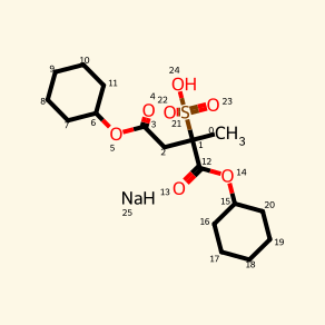 CC(CC(=O)OC1CCCCC1)(C(=O)OC1CCCCC1)S(=O)(=O)O.[NaH]